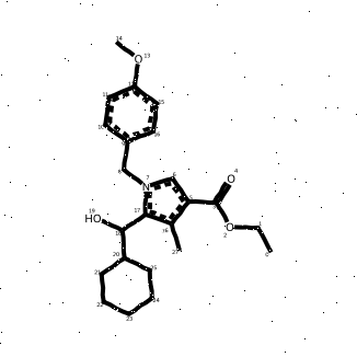 CCOC(=O)c1cn(Cc2ccc(OC)cc2)c(C(O)C2CCCCC2)c1C